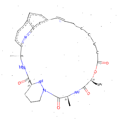 CC(C)[C@@H]1OC(=O)CCCCC/C=C/c2ccc3ccc(nc3c2)[C@@H](C)NC(=O)[C@@H]2CCCN(N2)C(=O)[C@H](C)NC1=O